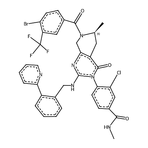 CNC(=O)c1ccc(-n2c(NCc3ccccc3-c3ccccn3)nc3c(c2=O)C[C@H](C)N(C(=O)c2ccc(Br)c(C(F)(F)F)c2)C3)c(Cl)c1